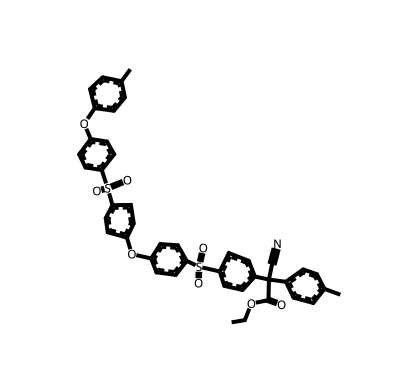 CCOC(=O)C(C#N)(c1ccc(C)cc1)c1ccc(S(=O)(=O)c2ccc(Oc3ccc(S(=O)(=O)c4ccc(Oc5ccc(C)cc5)cc4)cc3)cc2)cc1